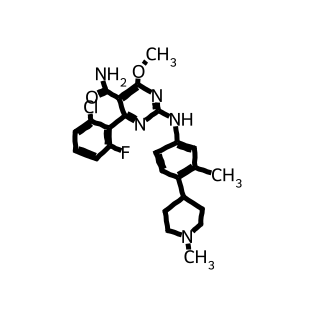 COc1nc(Nc2ccc(C3CCN(C)CC3)c(C)c2)nc(-c2c(F)cccc2Cl)c1C(N)=O